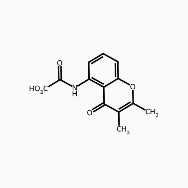 Cc1oc2cccc(NC(=O)C(=O)O)c2c(=O)c1C